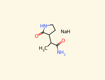 CC(C(N)=O)C1CCNC1=O.[NaH]